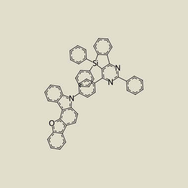 c1ccc(-c2nc(-c3ccc(-n4c5ccccc5c5c6oc7ccccc7c6ccc54)cc3)c3c(n2)-c2ccccc2[Si]3(c2ccccc2)c2ccccc2)cc1